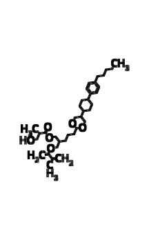 C=C(C)C(=C)OCC(CCCC1OCC(C2CCC(c3ccc(CCCCC)cc3)CC2)CO1)COC(=O)C(C)CO